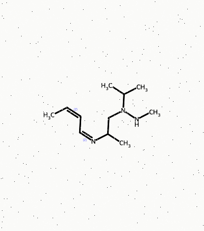 C/C=C\C=N/C(C)CN(NC)C(C)C